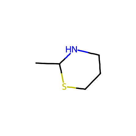 CC1NCCCS1